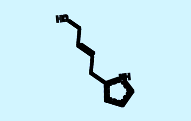 OCC=CCc1ccc[nH]1